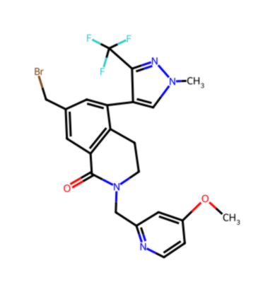 COc1ccnc(CN2CCc3c(cc(CBr)cc3-c3cn(C)nc3C(F)(F)F)C2=O)c1